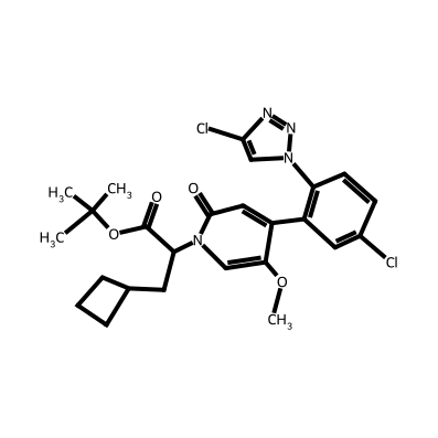 COc1cn(C(CC2CCC2)C(=O)OC(C)(C)C)c(=O)cc1-c1cc(Cl)ccc1-n1cc(Cl)nn1